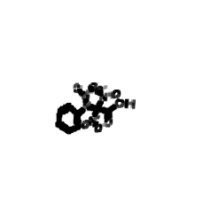 O=C(O)C(N(c1ccccc1)[N+](=O)[O-])([N+](=O)[O-])[N+](=O)[O-]